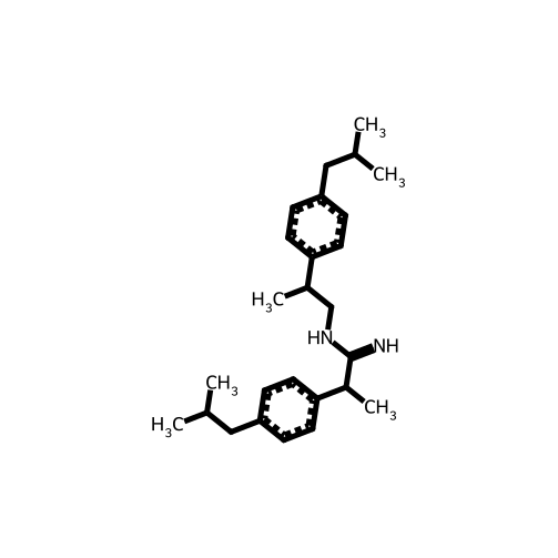 CC(C)Cc1ccc(C(C)CNC(=N)C(C)c2ccc(CC(C)C)cc2)cc1